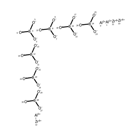 [Al+3].[Al+3].[Al+3].[O-]B([O-])[O-].[O-]B([O-])[O-].[O-]B([O-])[O-].[O-]B([O-])[O-].[O-]B([O-])[O-].[O-]B([O-])[O-].[O-]B([O-])[O-].[Zr+4].[Zr+4].[Zr+4]